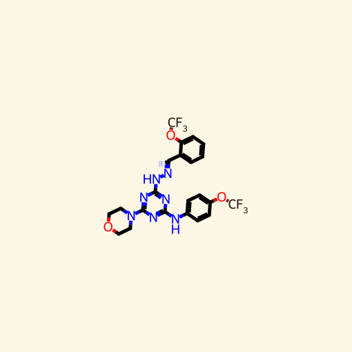 FC(F)(F)Oc1ccc(Nc2nc(N/N=C/c3ccccc3OC(F)(F)F)nc(N3CCOCC3)n2)cc1